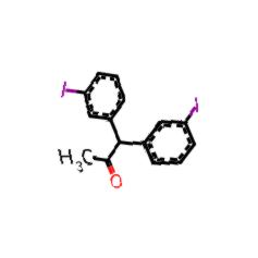 CC(=O)C(c1cccc(I)c1)c1cccc(I)c1